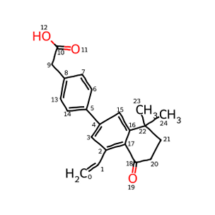 C=Cc1cc(-c2ccc(CC(=O)O)cc2)cc2c1C(=O)CCC2(C)C